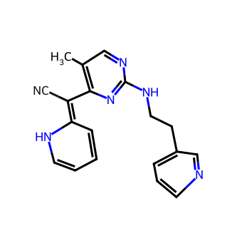 Cc1cnc(NCCc2cccnc2)nc1/C(C#N)=C1\C=CC=CN1